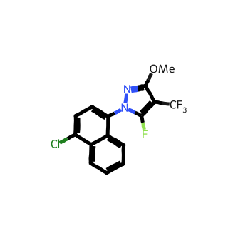 COc1nn(-c2ccc(Cl)c3ccccc23)c(F)c1C(F)(F)F